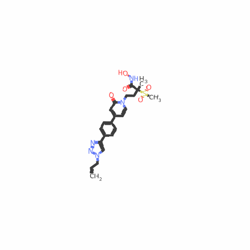 C=CCn1cc(-c2ccc(-c3ccn(CCC(C)(C(=O)NO)S(C)(=O)=O)c(=O)c3)cc2)nn1